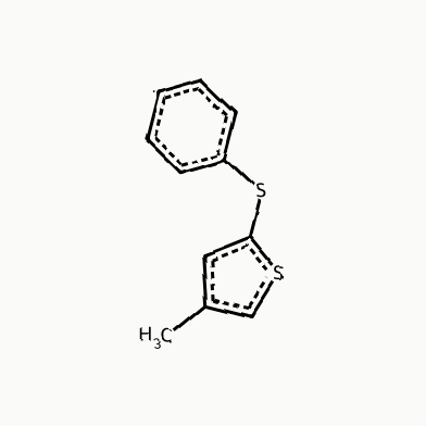 Cc1csc(Sc2cc[c]cc2)c1